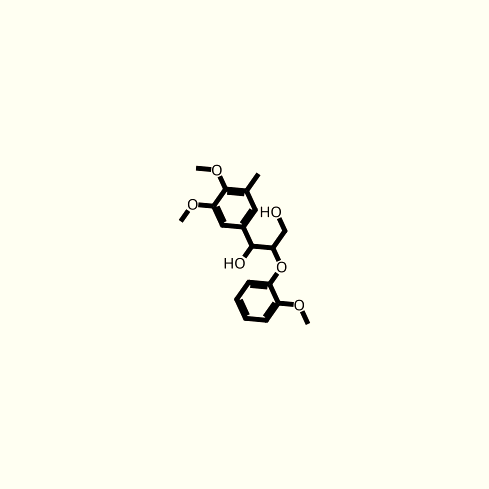 COc1ccccc1OC(CO)C(O)c1cc(C)c(OC)c(OC)c1